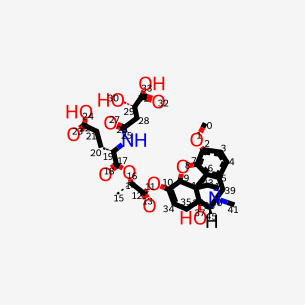 COc1ccc2c3c1OC1C(OC(=O)[C@H](C)OC(=O)[C@H](CCC(=O)O)NC(=O)C[C@H](O)C(=O)O)=CC[C@@]4(O)[C@@H](C2)N(C)CCC314